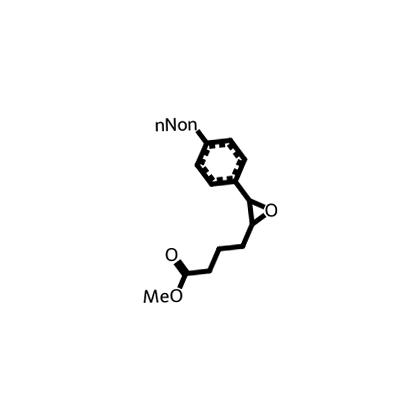 CCCCCCCCCc1ccc(C2OC2CCCC(=O)OC)cc1